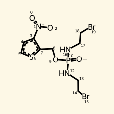 O=[N+]([O-])c1ccsc1COP(=O)(NCCBr)NCCBr